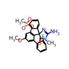 COc1cc(OS(C)(=O)=O)c(C2(c3ccccc3)N=C(N)N(C)C2=O)c(-c2ccccc2F)c1